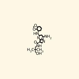 CC(C)(CO)CNC(=O)c1cnn2c(N)cc(Nc3cccc4c3OCO4)nc12